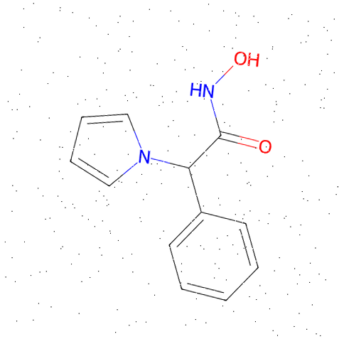 O=C(NO)C(c1ccccc1)n1cccc1